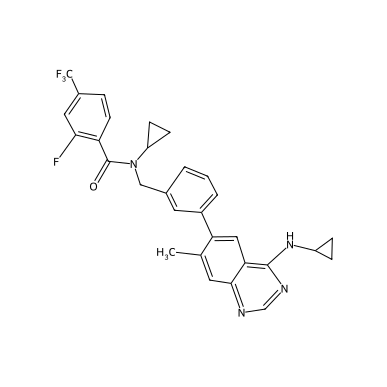 Cc1cc2ncnc(NC3CC3)c2cc1-c1cccc(CN(C(=O)c2ccc(C(F)(F)F)cc2F)C2CC2)c1